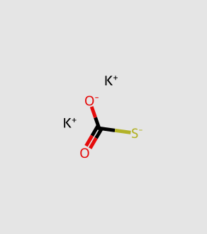 O=C([O-])[S-].[K+].[K+]